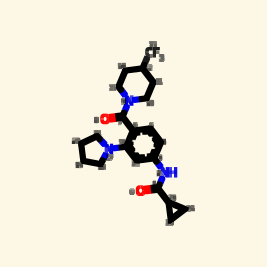 O=C(Nc1ccc(C(=O)N2CCC(C(F)(F)F)CC2)c(N2CCCC2)c1)C1CC1